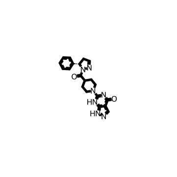 O=C(C1CCN(c2nc(=O)c3cn[nH]c3[nH]2)CC1)N1N=CC[C@H]1c1ccccc1